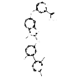 CNC(=O)c1cc(Oc2ccc3c(c2)nc(Nc2ccc(Cl)c(-c4ccc(C)nc4C)c2)n3C)ccn1